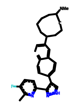 C=C1C=CC(c2c[nH]nc2-c2ccc(F)c(C)n2)=C=C/C1=C/C(=C\C)C1CCCCC(NC)CCC1